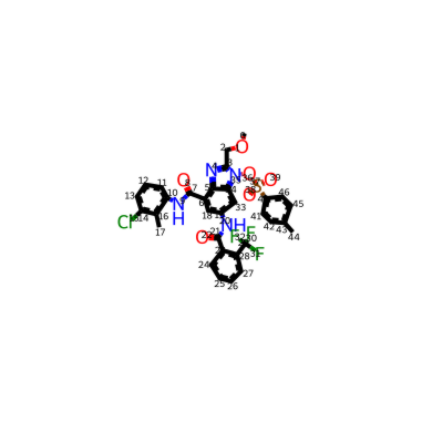 COCc1nc2c(C(=O)Nc3cccc(Cl)c3C)cc(NC(=O)c3ccccc3C(F)(F)F)cc2n1OS(=O)(=O)c1ccc(C)cc1